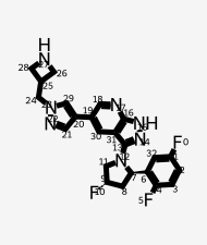 Fc1ccc(F)c([C@H]2C[C@H](F)CN2c2n[nH]c3ncc(-c4cnn(CC5CNC5)c4)cc23)c1